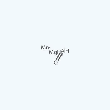 [MgH2].[Mn].[O]=[AlH]